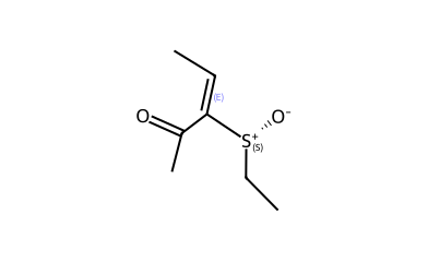 C/C=C(\C(C)=O)[S@+]([O-])CC